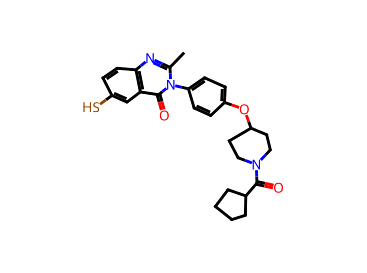 Cc1nc2ccc(S)cc2c(=O)n1-c1ccc(OC2CCN(C(=O)C3CCCC3)CC2)cc1